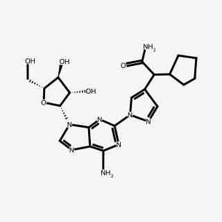 NC(=O)C(c1cnn(-c2nc(N)c3ncn([C@@H]4O[C@H](CO)[C@@H](O)[C@@H]4O)c3n2)c1)C1CCCC1